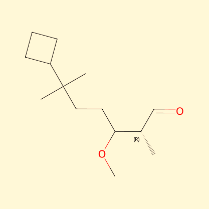 COC(CCC(C)(C)C1CCC1)[C@@H](C)C=O